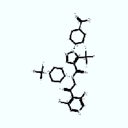 O=C(CN(C(=O)c1cnn([C@H]2CC[C@H](C(=O)O)CC2)c1C(F)(F)F)[C@H]1CC[C@@H](C(F)(F)F)CC1)c1c(Cl)cncc1Cl